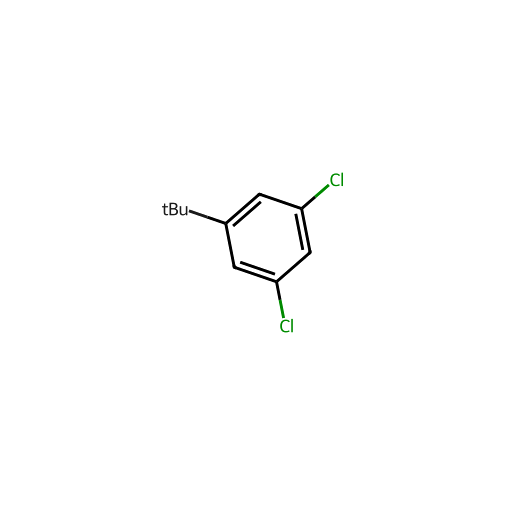 CC(C)(C)c1cc(Cl)cc(Cl)c1